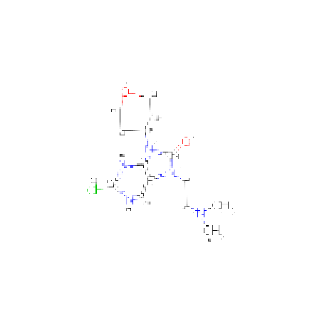 CN(C)CCn1c(=O)n(C2CCOCC2)c2nc(Cl)ncc21